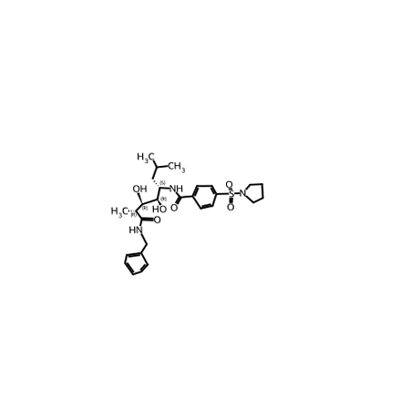 CC(C)C[C@H](NC(=O)c1ccc(S(=O)(=O)N2CCCC2)cc1)[C@@H](O)[C@H](O)[C@@H](C)C(=O)NCc1ccccc1